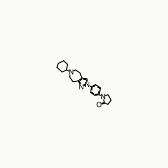 O=C1CCCN1c1ccc(-n2cc3c(n2)CCN(C2CCCCC2)CC3)cc1